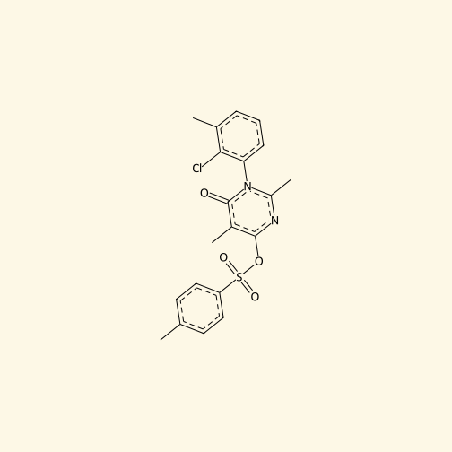 Cc1ccc(S(=O)(=O)Oc2nc(C)n(-c3cccc(C)c3Cl)c(=O)c2C)cc1